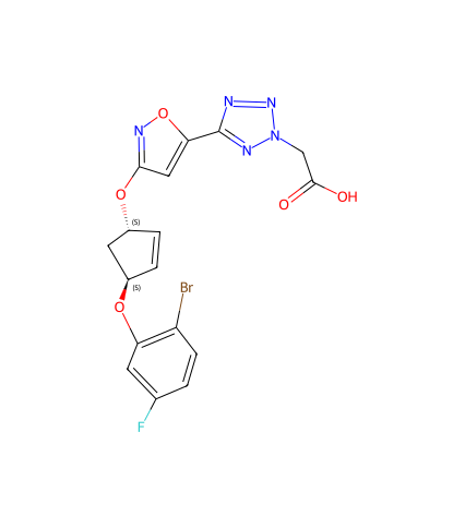 O=C(O)Cn1nnc(-c2cc(O[C@@H]3C=C[C@@H](Oc4cc(F)ccc4Br)C3)no2)n1